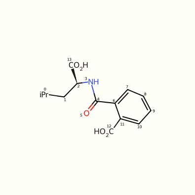 CC(C)C[C@H](NC(=O)c1ccccc1C(=O)O)C(=O)O